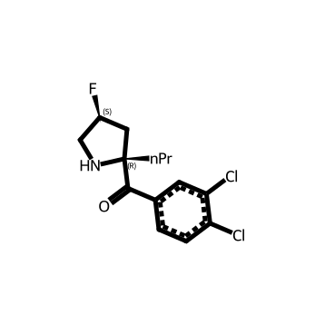 CCC[C@]1(C(=O)c2ccc(Cl)c(Cl)c2)C[C@H](F)CN1